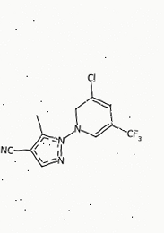 Cc1c(C#N)cnn1N1C=C(C(F)(F)F)C=C(Cl)C1